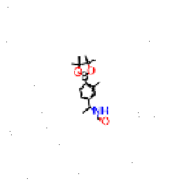 Cc1cc(C(C)NC=O)ccc1B1OC(C)(C)C(C)(C)O1